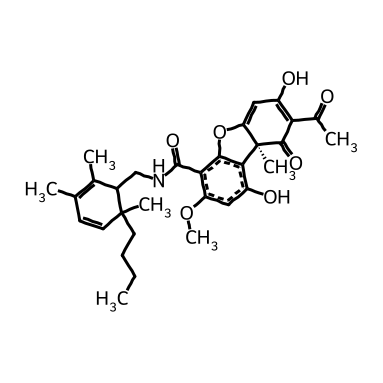 CCCCC1(C)C=CC(C)=C(C)C1CNC(=O)c1c(OC)cc(O)c2c1OC1=CC(O)=C(C(C)=O)C(=O)[C@]12C